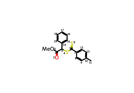 COC(=O)C(SC(=S)c1ccc(C)cc1)c1ccccc1